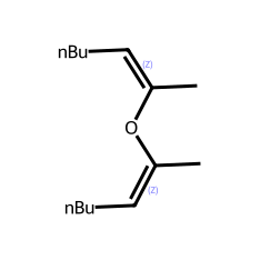 CCCC/C=C(/C)O/C(C)=C\CCCC